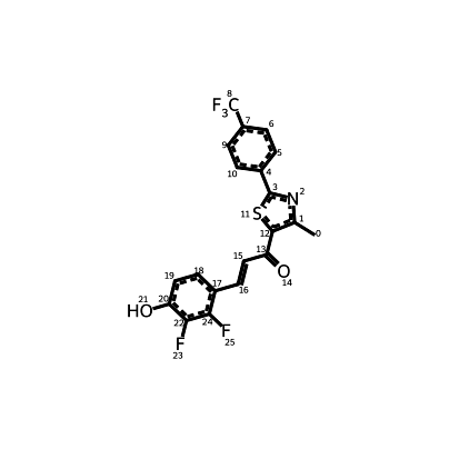 Cc1nc(-c2ccc(C(F)(F)F)cc2)sc1C(=O)C=Cc1ccc(O)c(F)c1F